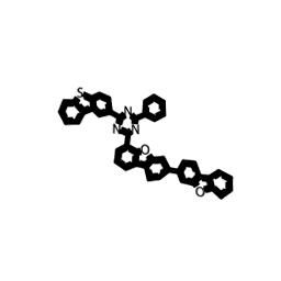 c1ccc(-c2nc(-c3ccc4sc5ccccc5c4c3)nc(-c3cccc4c3oc3cc(-c5ccc6c(c5)oc5ccccc56)ccc34)n2)cc1